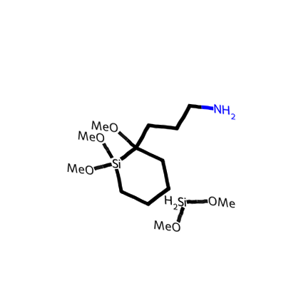 COC1(CCCN)CCCC[Si]1(OC)OC.CO[SiH2]OC